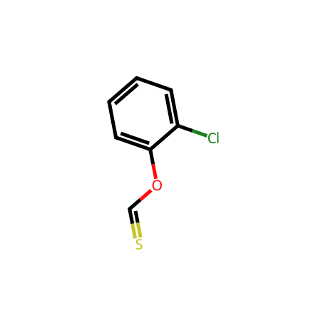 S=COc1ccccc1Cl